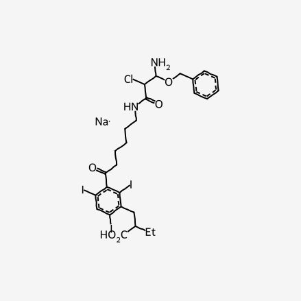 CCC(Cc1c(I)cc(I)c(C(=O)CCCCCNC(=O)C(Cl)C(N)OCc2ccccc2)c1I)C(=O)O.[Na]